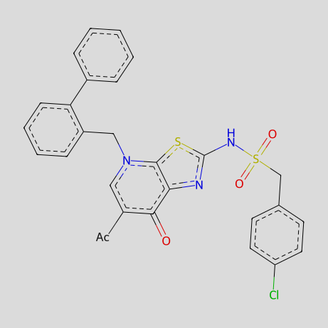 CC(=O)c1cn(Cc2ccccc2-c2ccccc2)c2sc(NS(=O)(=O)Cc3ccc(Cl)cc3)nc2c1=O